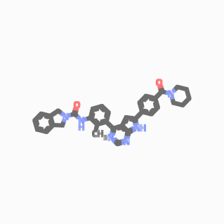 Cc1c(NC(=O)N2Cc3ccccc3C2)cccc1-c1ncnc2[nH]c(-c3ccc(C(=O)N4CCCCC4)cc3)cc12